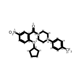 O=C(c1cc([N+](=O)[O-])ccc1OC1CCCC1)N1CCN(c2ccc(C(F)(F)F)cc2)CC1